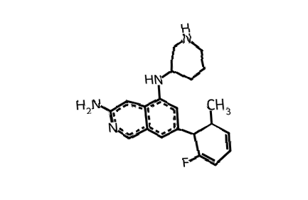 CC1C=CC=C(F)C1c1cc(NC2CCCNC2)c2cc(N)ncc2c1